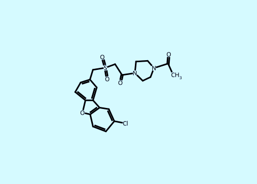 CC(=O)N1CCN(C(=O)CS(=O)(=O)Cc2ccc3oc4ccc(Cl)cc4c3c2)CC1